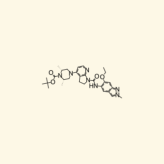 CCOc1cc2nn(C)cc2cc1NC(=O)N1CCc2c(N3C[C@@H](C)N(C(=O)OC(C)(C)C)[C@@H](C)C3)ccnc21